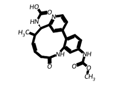 COC(=O)Nc1ccc2c(c1)NC(=O)CC=CC(C)[C@H](NC(=O)O)c1cc-2ccn1